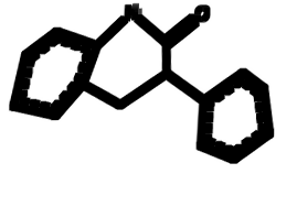 O=C1[N]c2ccccc2CC1c1ccccc1